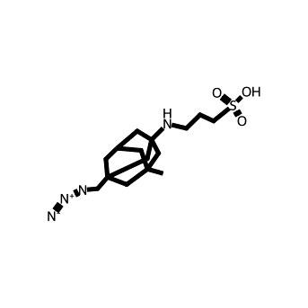 CC12CC3CC(CN=[N+]=[N-])(C1)CC(NCCCS(=O)(=O)O)(C3)C2